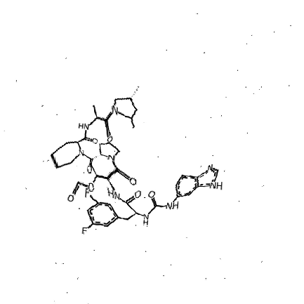 CC1C[C@@H](C)CN1C(=O)[C@H](C)NC(=O)[C@@H]1CCCCN1C(=O)[C@@H]1CCCN1C(=O)[C@@H](NC(=O)[C@H](Cc1cc(F)cc(F)c1)NC(=O)Nc1ccc2nc[nH]c2c1)[C@H](C)OC=O